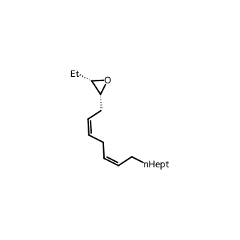 CCCCCCCC/C=C\C/C=C\C[C@H]1O[C@H]1CC